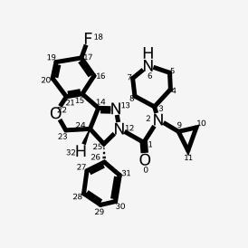 O=C(N(C1CCNCC1)C1CC1)N1N=C2c3cc(F)ccc3OC[C@H]2[C@H]1c1ccccc1